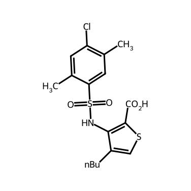 CCCCc1csc(C(=O)O)c1NS(=O)(=O)c1cc(C)c(Cl)cc1C